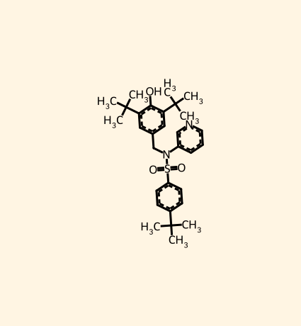 CC(C)(C)c1ccc(S(=O)(=O)N(Cc2cc(C(C)(C)C)c(O)c(C(C)(C)C)c2)c2cccnc2)cc1